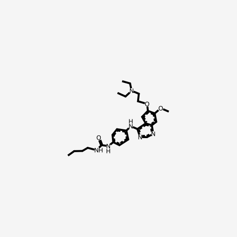 CCCCNC(=O)Nc1ccc(Nc2ncnc3cc(OC)c(OCCN(CC)CC)cc23)cc1